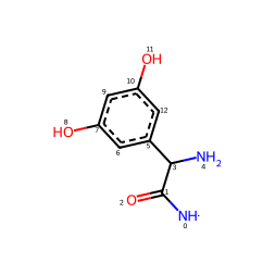 [NH]C(=O)C(N)c1cc(O)cc(O)c1